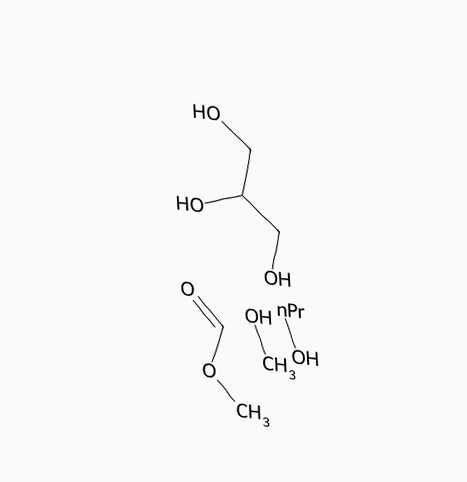 CCCO.CO.COC=O.OCC(O)CO